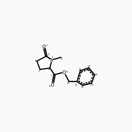 CN1C(=O)CCC1C(=O)OCc1ccccc1